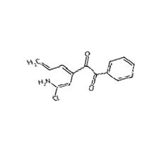 C=C/C=C(\C=C(/N)Cl)C(=O)C(=O)c1ccccc1